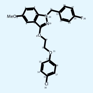 COc1ccc2c(c1)c(OCCOc1ccc(Cl)cc1)nn2Cc1ccc(F)cc1